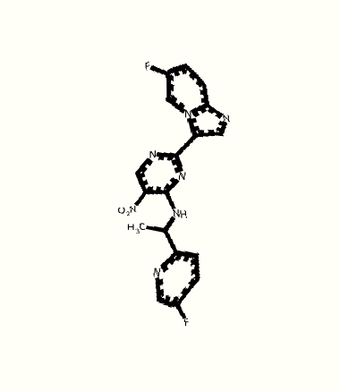 CC(Nc1nc(-c2cnc3ccc(F)cn23)ncc1[N+](=O)[O-])c1ccc(F)cn1